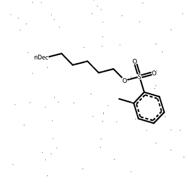 CCCCCCCCCCCCCCCOS(=O)(=O)c1ccccc1C